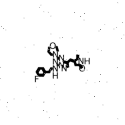 C=C1NC(=O)C/C1=C\c1cnn2c(NCCc3cccc(F)c3)nc(N3CCCOCC3)nc12